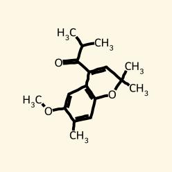 COc1cc2c(cc1C)OC(C)(C)C=C2C(=O)C(C)C